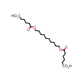 O=C(O)CCCCC(=O)OCCCCCCCCCCOC(=O)CCCCC(=O)O